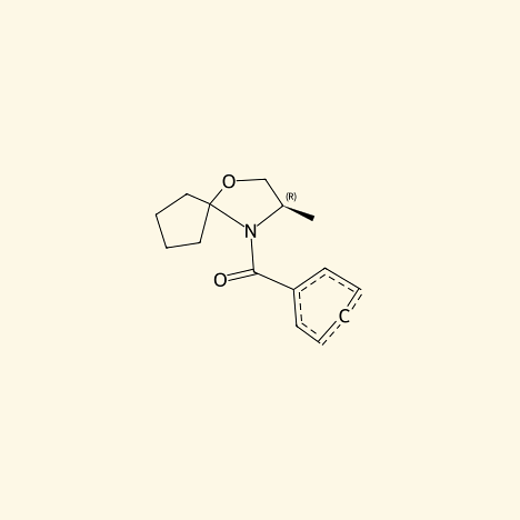 C[C@@H]1COC2(CCCC2)N1C(=O)c1ccccc1